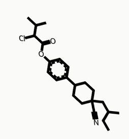 CCC(C)CC1(C#N)CCC(c2ccc(OC(=O)C(Cl)C(C)C)cc2)CC1